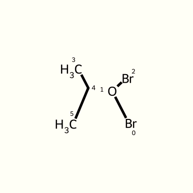 BrOBr.CCC